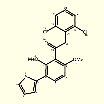 COc1ccc(-c2cccs2)c(OC)c1C(=O)Cc1c(Cl)cccc1Cl